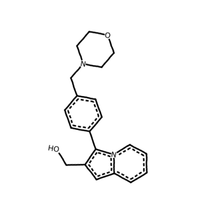 OCc1cc2ccccn2c1-c1ccc(CN2CCOCC2)cc1